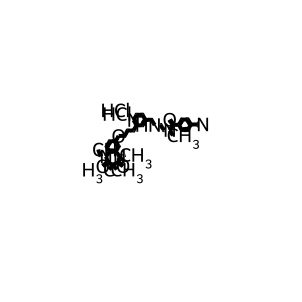 CCN1C(=O)C(C)(C)C(=O)N(C)c2cc(OCCCc3cc(CNCCN(C)C(=O)c4ccc(C#N)cc4)ccn3)ccc21.Cl.Cl